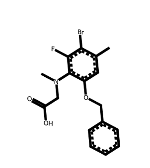 Cc1cc(OCc2ccccc2)c(N(C)CC(=O)O)c(F)c1Br